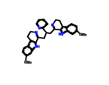 COc1ccc2c3c([nH]c2c1)C(CC(CC1=NCCc2c1[nH]c1cc(OC)ccc21)c1ccccn1)=NCC3